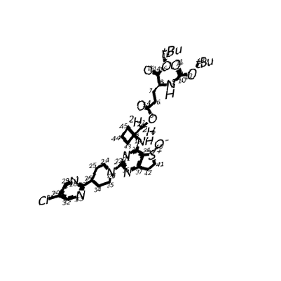 [2H]C([2H])(OC(=O)CC[C@H](NC(=O)OC(C)(C)C)C(=O)OC(C)(C)C)C1(Nc2nc(N3CCC(c4ncc(Cl)cn4)CC3)nc3c2[S@+]([O-])CC3)CCC1